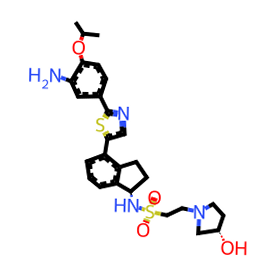 CC(C)Oc1ccc(-c2ncc(-c3cccc4c3CC[C@@H]4NS(=O)(=O)CCN3CC[C@H](O)C3)s2)cc1N